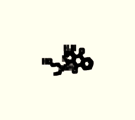 CCN(CCO)Nc1nnc(N)c2c1C(=O)c1ccccc1C2=O